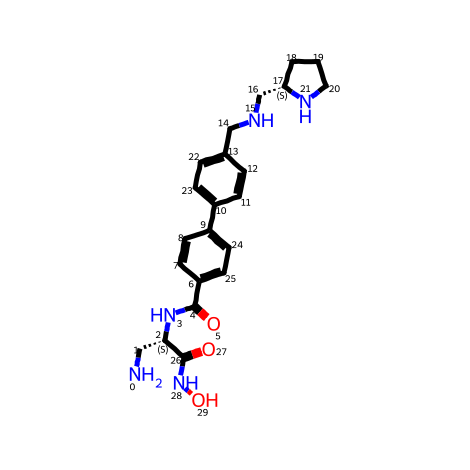 NC[C@H](NC(=O)c1ccc(-c2ccc(CNC[C@@H]3CCCN3)cc2)cc1)C(=O)NO